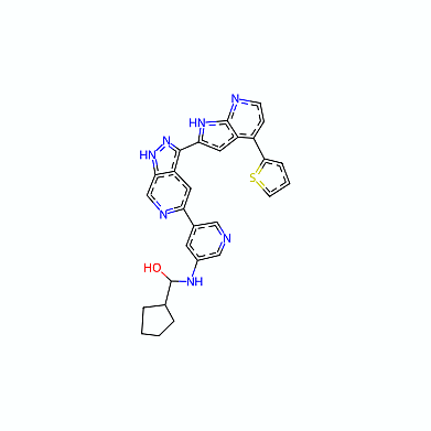 OC(Nc1cncc(-c2cc3c(-c4cc5c(-c6cccs6)ccnc5[nH]4)n[nH]c3cn2)c1)C1CCCC1